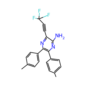 Cc1ccc(-c2nc(N)c(C#CC(F)(F)F)nc2-c2ccc(C)cc2)cc1